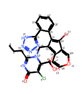 CCCc1nc(=O)c(Cl)c(C(=O)O)n1Cc1c2ccocc-2c(Br)c1-c1ccccc1-c1nnn[nH]1